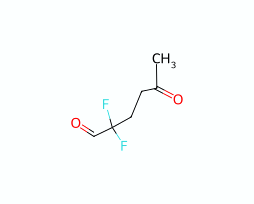 CC(=O)CCC(F)(F)C=O